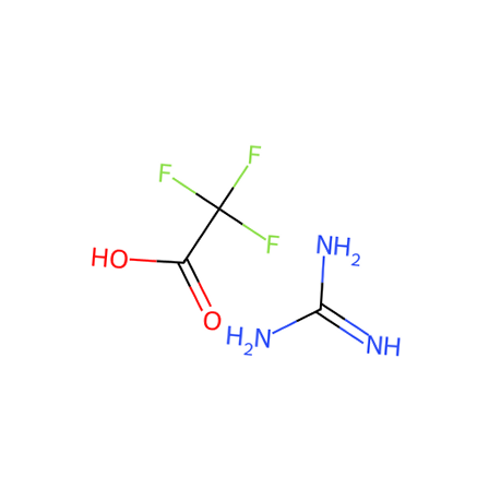 N=C(N)N.O=C(O)C(F)(F)F